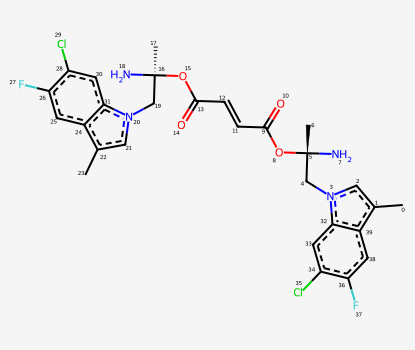 Cc1cn(C[C@@](C)(N)OC(=O)/C=C/C(=O)O[C@](C)(N)Cn2cc(C)c3cc(F)c(Cl)cc32)c2cc(Cl)c(F)cc12